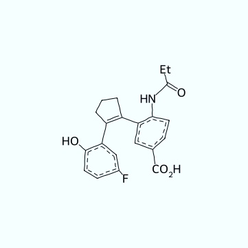 CCC(=O)Nc1ccc(C(=O)O)cc1C1=C(c2cc(F)ccc2O)CCC1